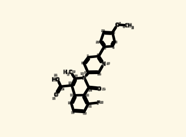 COc1ccc(-c2ccc(-n3c(C)c(C(=O)O)c4cccc(F)c4c3=O)cn2)cc1